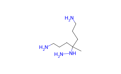 CC(CCCN)(CCCN)NN